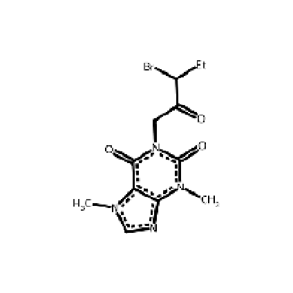 CCC(Br)C(=O)Cn1c(=O)c2c(ncn2C)n(C)c1=O